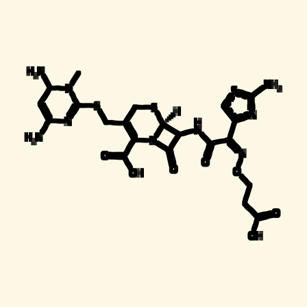 CN1C(SCC2=C(C(=O)O)N3C(=O)C(NC(=O)/C(=N\OCCC(=O)O)c4csc(N)n4)[C@@H]3SC2)=NC(N)=CC1N